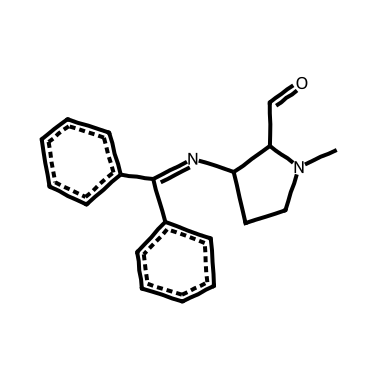 CN1CCC(N=C(c2ccccc2)c2ccccc2)C1C=O